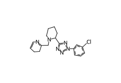 Clc1cccc(-n2nnc(C3CCCCN3CC3=NC=CCC3)n2)c1